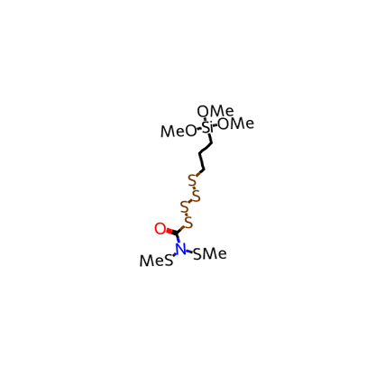 CO[Si](CCCSSSSC(=O)N(SC)SC)(OC)OC